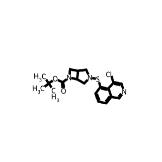 CC(C)(C)OC(=O)N1CC2CN(Sc3cccc4cncc(Cl)c34)CC21